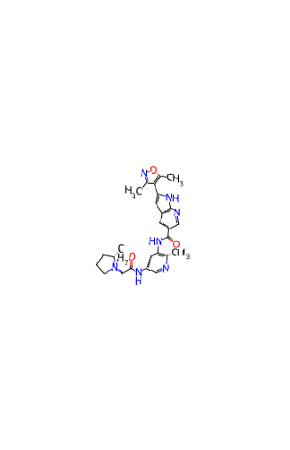 Cc1ncc(NC(=O)CN2CCC[C@@H]2C)cc1NC(=O)c1cnc2[nH]c(-c3c(C)noc3C)cc2c1